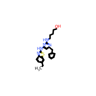 CCc1ccc2nc(Nc3cc(Cc4ccccc4)nc(NCCCCCO)n3)sc2c1